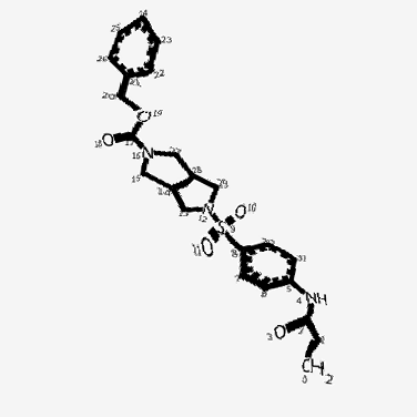 C=CC(=O)Nc1ccc(S(=O)(=O)N2CC3CN(C(=O)OCc4ccccc4)CC3C2)cc1